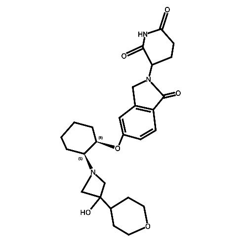 O=C1CCC(N2Cc3cc(O[C@@H]4CCCC[C@@H]4N4CC(O)(C5CCOCC5)C4)ccc3C2=O)C(=O)N1